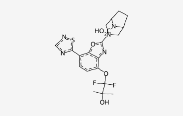 CC(C)(O)C(F)(F)Oc1ccc(-c2ncns2)c2oc(N3CC4CCC(C3)N4C(=O)O)nc12